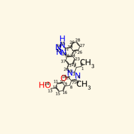 CCCc1nc(C)c(Cc2ccc(CO)cc2)c(=O)n1Cc1ccc(-c2ccccc2-c2nnn[nH]2)cc1